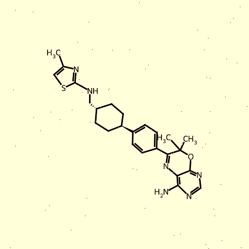 Cc1csc(NC[C@H]2CC[C@H](c3ccc(C4=Nc5c(N)ncnc5OC4(C)C)cc3)CC2)n1